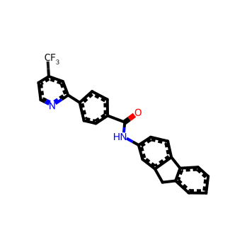 O=C(Nc1ccc2c(c1)Cc1ccccc1-2)c1ccc(-c2cc(C(F)(F)F)ccn2)cc1